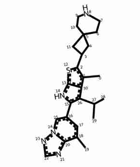 Cc1c(C2CC3(CCNCC3)C2)sc2[nH]c(-c3cc(C)c4ncnn4c3)c(C(C)C)c12